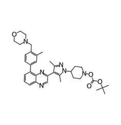 Cc1cc(-c2cccc3ncc(-c4c(C)nn(C5CCN(OC(=O)OC(C)(C)C)CC5)c4C)nc23)ccc1CN1CCOCC1